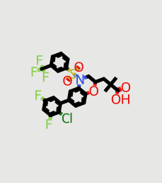 CC(C)(CC1CN(S(=O)(=O)c2cccc(C(F)(F)F)c2)c2cc(-c3cc(F)cc(F)c3Cl)ccc2O1)C(=O)O